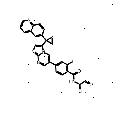 CC(C=O)NC(=O)c1ccc(-c2cnc3ncc(C4(c5ccc6ncccc6c5)CC4)n3c2)cc1F